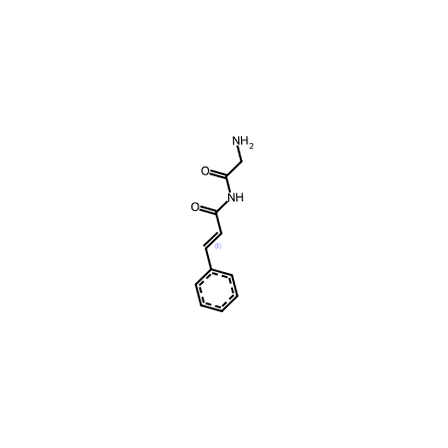 NCC(=O)NC(=O)/C=C/c1ccccc1